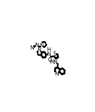 N#C/N=C(/N1CCCC1)N1CCc2ccc(NC(=O)c3sccc3NCc3ccnc4ccccc34)cc21